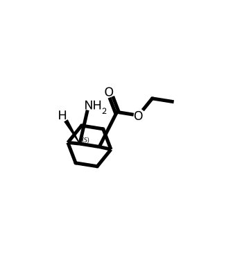 CCOC(=O)C1C2CCC(CC2)[C@@H]1N